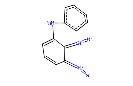 [N-]=[N+]=C1C=CC=C(Nc2ccccc2)C1=[N+]=[N-]